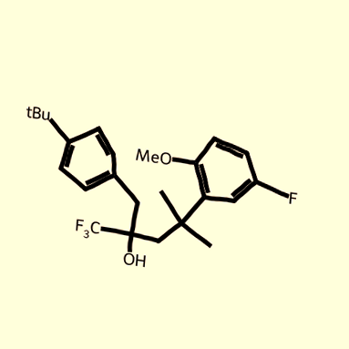 COc1ccc(F)cc1C(C)(C)CC(O)(Cc1ccc(C(C)(C)C)cc1)C(F)(F)F